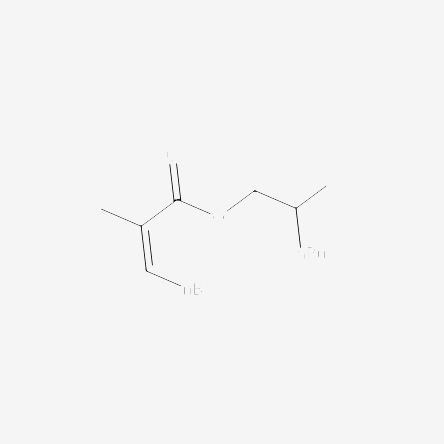 CCCCC=C(C)C(=O)OCC(CC)CCCC